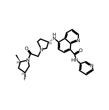 C[C@@H]1C[C@H](F)CN1C(=O)CN1CC[C@H](Nc2ccc(C(=O)Nc3cccnc3)c3ncccc23)C1